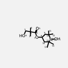 CC(C)(CO)C(=O)OC1CC(C)(C)N(O)C(C)(C)C1